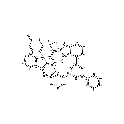 C=C/C=C\C1=C(C)C(C)(C)c2c(ccc3c2oc2cccc(-c4cc(-c5ccccc5)cc(-c5ccccc5)n4)c23)C12c1ccccc1-c1ccccc12